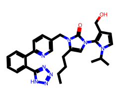 CCCCc1cn(-c2c(CO)ccn2C(C)C)c(=O)n1Cc1ccc(-c2ccccc2-c2nnn[nH]2)nc1